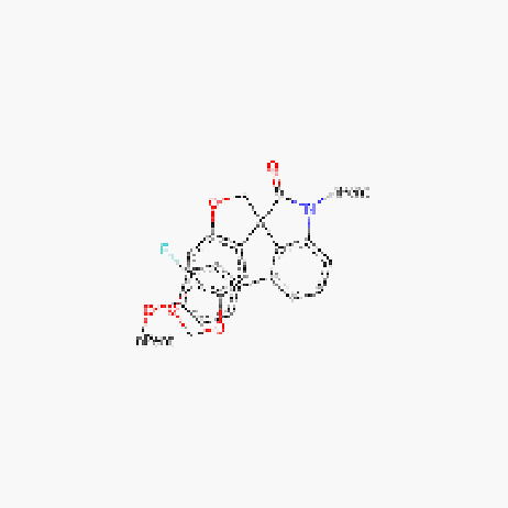 CCCCCOc1ccc(-c2cccc3c2C2(COc4cc5c(cc42)OCO5)C(=O)N3CCCCC)cc1F